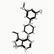 CCc1n[nH]c2ncnc(N3CCN(c4cc(Cl)cc(OC)c4)CC3)c12